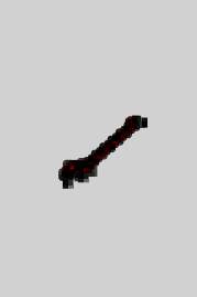 CC(C)(C)OC(=O)COCCOCCOCCOCCOCCOCCOCCOCCOCCOCCOc1cc(Cl)cc(NC(=O)NCc2ccc3c(c2)CN(C2CCC(=O)NC2=O)C3=O)c1